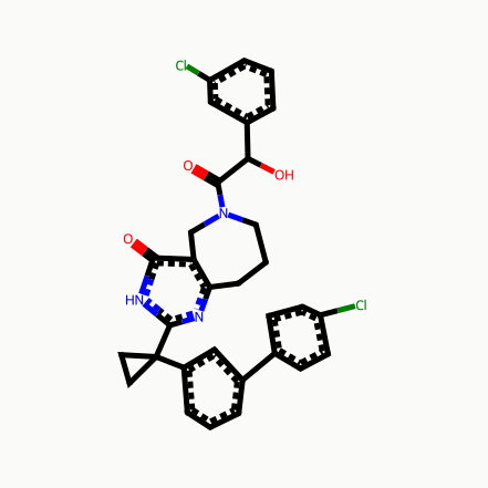 O=C(C(O)c1cccc(Cl)c1)N1CCCc2nc(C3(c4cccc(-c5ccc(Cl)cc5)c4)CC3)[nH]c(=O)c2C1